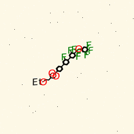 CCOCCC1COC(c2ccc(-c3ccc(-c4cc(F)c(C(F)(F)Oc5cc(F)c(F)c(F)c5)c(F)c4)c(F)c3)cc2)OC1